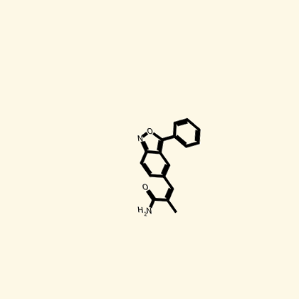 CC(=Cc1ccc2noc(-c3ccccc3)c2c1)C(N)=O